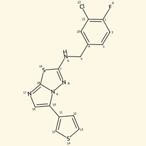 Fc1ccc(CNc2nn3c(-c4ccsc4)cnc3s2)cc1Cl